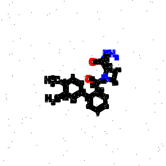 Cc1ccc(-c2ccccc2C(=O)N2CCC2C(N)=O)cc1C